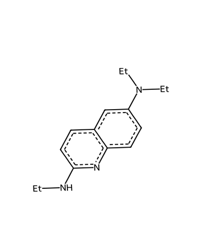 CCNc1ccc2cc(N(CC)CC)ccc2n1